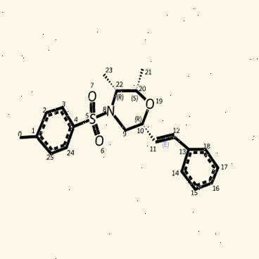 Cc1ccc(S(=O)(=O)N2C[C@@H](/C=C/c3ccccc3)O[C@@H](C)[C@H]2C)cc1